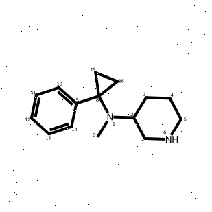 CN(C1CCCNC1)C1(c2ccccc2)CC1